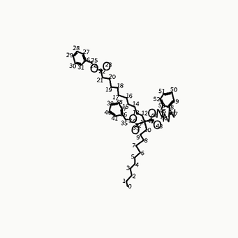 CCCCCCCCCCCC(CCCCCCCCCCC(=O)OCc1ccccc1)(C(=O)OCc1ccccc1)C(=O)On1nnc2ccccc21